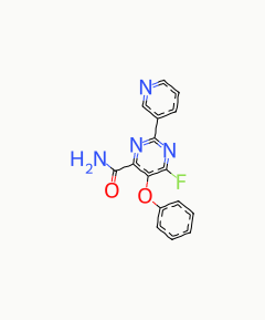 NC(=O)c1nc(-c2cccnc2)nc(F)c1Oc1ccccc1